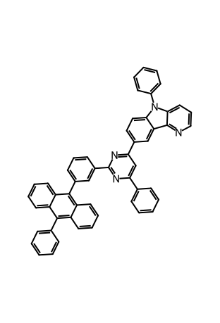 c1ccc(-c2cc(-c3ccc4c(c3)c3ncccc3n4-c3ccccc3)nc(-c3cccc(-c4c5ccccc5c(-c5ccccc5)c5ccccc45)c3)n2)cc1